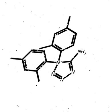 Cc1ccc([N+]2(c3ccc(C)cc3C)N=NN=C2N)c(C)c1